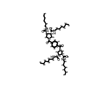 CCCCCCNC(=O)[C@@H]1CN(C(=O)c2ccc(C(=O)N3C[C@@H](C(=O)NCCCCCC)[C@H](C(=O)NCCCCCC)C3)cc2)C[C@H]1C(=O)NCCCCCC